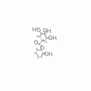 O=C(Oc1ccccc1O)c1cc(O)c(O)c(O)c1